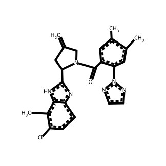 C=C1CC(c2nc3ccc(Cl)c(C)c3[nH]2)N(C(=O)c2cc(C)c(C)cc2-n2nccn2)C1